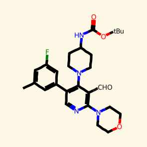 Cc1cc(F)cc(-c2cnc(N3CCOCC3)c(C=O)c2N2CCC(NC(=O)OC(C)(C)C)CC2)c1